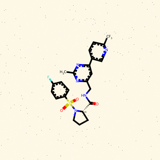 Cc1nc(CNC(=O)[C@@H]2CCCN2S(=O)(=O)c2ccc(F)cc2)cc(-c2ccc(C(F)(F)F)nc2)n1